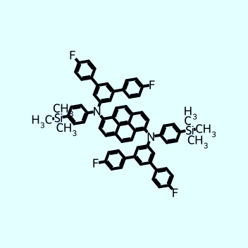 C[Si](C)(C)c1ccc(N(c2cc(-c3ccc(F)cc3)cc(-c3ccc(F)cc3)c2)c2ccc3ccc4c(N(c5ccc([Si](C)(C)C)cc5)c5cc(-c6ccc(F)cc6)cc(-c6ccc(F)cc6)c5)ccc5ccc2c3c54)cc1